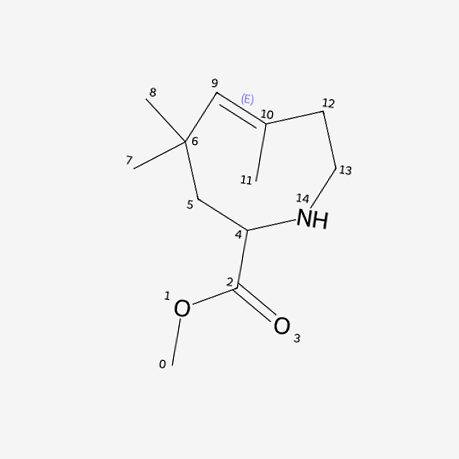 COC(=O)C1CC(C)(C)/C=C(\C)CCN1